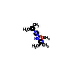 CCc1cc(NC(=S)N2CCN(c3cc(C)cc(C)c3)CC2)c(OC)nc1C